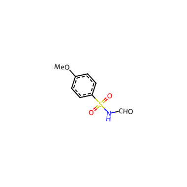 COc1ccc(S(=O)(=O)NC=O)cc1